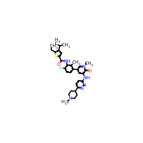 CCc1sc(C(=O)Nc2c(F)ccc(-c3cc(Nc4ccc(C5CCN(C)CC5)nn4)c(=O)n(C)c3)c2C)cc1C(C)C